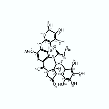 COc1cc2c(cc1OC1=C(O)C(O)=C(O)C(O)O1)N(C(=O)OC(C)(C)C)[C@@H](OC1OC(O)=C(O)C(O)=C1O)[C@@H]1CC(=O)CN1C2=O